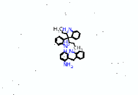 CCCC(CCC)(c1ccccc1N)c1ccccc1N.Nc1ccccc1Cc1ccccc1N